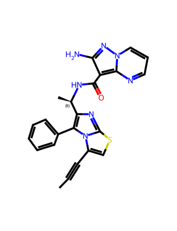 CC#Cc1csc2nc([C@@H](C)NC(=O)c3c(N)nn4cccnc34)c(-c3ccccc3)n12